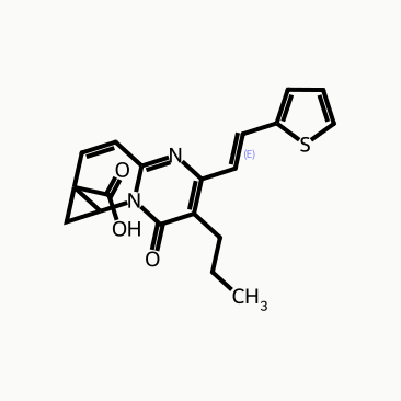 CCCc1c(/C=C/c2cccs2)nc2n(c1=O)C1CC1(C(=O)O)C=C2